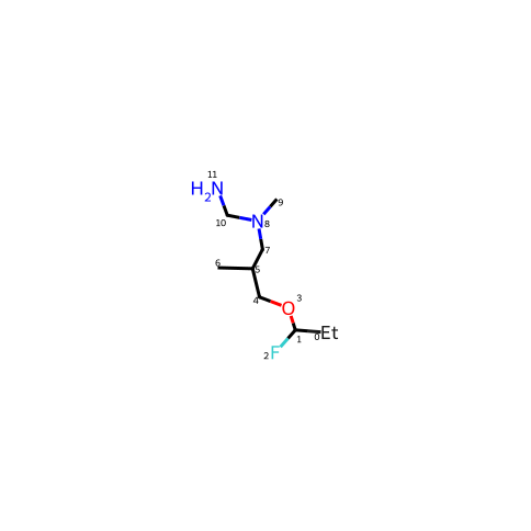 CCC(F)OCC(C)CN(C)CN